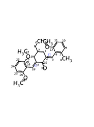 CCC1C/C(=C\c2c(C)cccc2OC)C(=O)/C(=C/c2c(OC)cccc2OC)C1